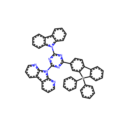 c1ccc([Si]2(c3ccccc3)c3ccccc3-c3ccc(-c4nc(-n5c6ccccc6c6ccccc65)nc(-n5c6ncccc6c6cccnc65)n4)cc32)cc1